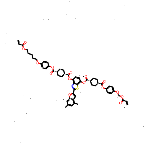 C=CC(=O)OCCCCCOc1ccc(OC(=O)[C@H]2CC[C@H](C(=O)Oc3ccc(OC(=O)[C@H]4CC[C@H](C(=O)Oc5ccc(OCOC(=O)C=C)cc5)CC4)c4sc(-c5cc6c(C)cc(C)cc6o5)nc34)CC2)cc1